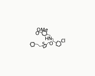 COC(=O)c1ccc(CNCC(OCc2ccc(CCc3ccccc3)s2)c2cccc(Cl)c2)cc1